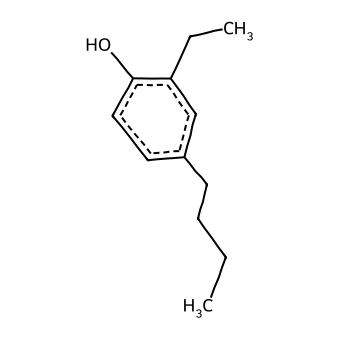 CCCCc1ccc(O)c(CC)c1